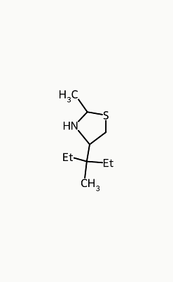 CCC(C)(CC)C1CSC(C)N1